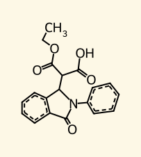 CCOC(=O)C(C(=O)O)C1c2ccccc2C(=O)N1c1ccccc1